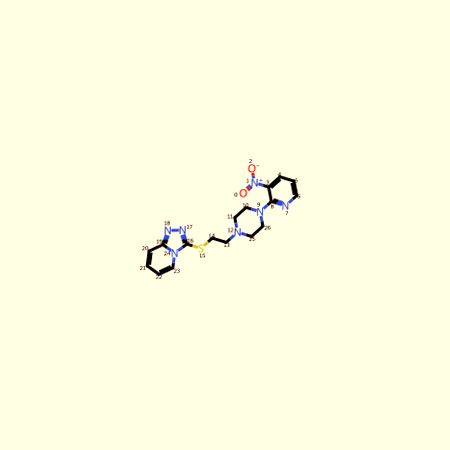 O=[N+]([O-])c1cccnc1N1CCN(CCSc2nnc3ccccn23)CC1